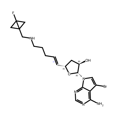 Nc1ncnc2c1c(Br)cn2[C@@H]1O[C@H](/C=C/CCCNCC23CC2(F)C3)C[C@H]1O